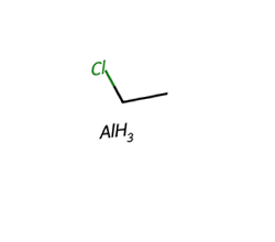 CCCl.[AlH3]